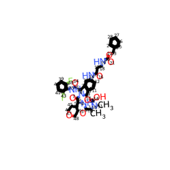 C[C@@H](C(=O)N[C@H](C(=O)N1Cc2ccc(NC(=O)CCNC(=O)OCc3ccccc3)cc2[C@H]1C(=O)Nc1c(F)cccc1F)C1CCOCC1)N(C)C(=O)O